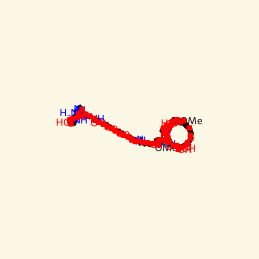 CO[C@H]1C[C@@H]2CC[C@@H](C)[C@@](O)(O2)C(=O)C(=O)N2CCCC[C@H]2C(=O)O[C@H]([C@H](N)C[C@@H]2CC[C@@H](OCCCCc3cn(CCOCCOCCOCCOCCOCCOCCC(=O)NCCCCn4nc(-c5cc6cc(O)ccc6[nH]5)c5c(N)ncnc54)nn3)[C@H](OC)C2)CC(=O)[C@H](C)/C=C(\C)[C@@H](O)[C@@H](O)C(=O)[C@H](C)C[C@H](C)/C=C/C=C/C=C/1C